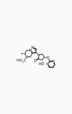 C[C@H]1Cn2ncc(N3C[C@@H](Oc4ncccn4)[C@H](O)C3=O)c2CN1C(=O)O